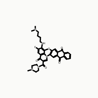 CN(C)CCCCNc1c(F)cc2c(=O)c(C(=O)N3CCN(C)CC3)cn3c4cc5c(=O)c6ccccc6c(=O)c5cc4oc1c23